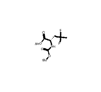 COC(=O)[C@H](CC(C)(F)F)NC(=O)OC(C)(C)C